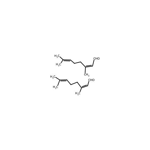 CC(C)=CCCC(C)=CC=O.CC(C)=CCCC(C)=CC=O